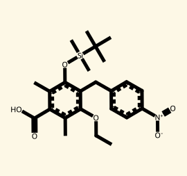 CCOc1c(C)c(C(=O)O)c(C)c(O[Si](C)(C)C(C)(C)C)c1Cc1ccc([N+](=O)[O-])cc1